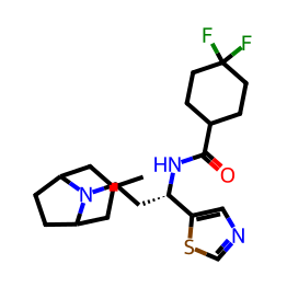 CC1CC2CCC(C1)N2CC[C@H](NC(=O)C1CCC(F)(F)CC1)c1cncs1